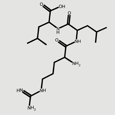 CC(C)CC(NC(=O)C(CC(C)C)NC(=O)C(N)CCCNC(=N)N)C(=O)O